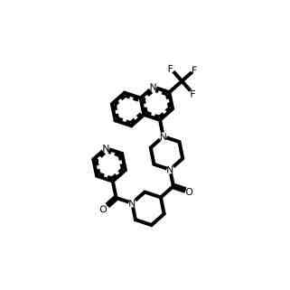 O=C(c1ccncc1)N1CCCC(C(=O)N2CCN(c3cc(C(F)(F)F)nc4ccccc34)CC2)C1